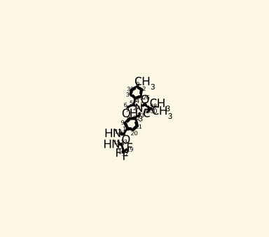 Cc1ccc(C2COc3cc(C(=N)OC(=N)C(F)(F)F)ccc3CN2C(=O)C(C)(C)C)cc1